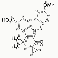 COc1ccc(Cn2c3c(c4cc(C(=O)O)ccc42)C(C)(C)CC2(CC2)C3=O)cc1